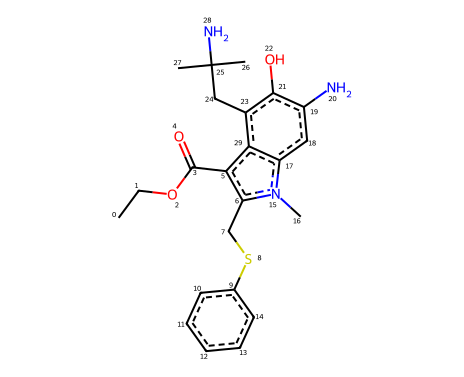 CCOC(=O)c1c(CSc2ccccc2)n(C)c2cc(N)c(O)c(CC(C)(C)N)c12